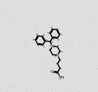 [NH]C(=O)CCCN1CCN(C(c2ccccc2)c2ccccc2)CC1